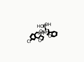 OB(O)[C@H](Cc1coc2ccccc12)NONCc1ccc(Cl)cc1C1CCCO1